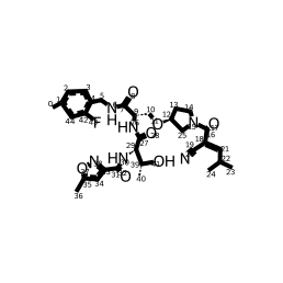 Cc1ccc(CNC(=O)[C@H](CO[C@H]2CCN(C(=O)C(C#N)=CC(C)C)C2)NC(=O)[C@@H](NC(=O)c2cc(C)on2)[C@@H](C)O)c(F)c1